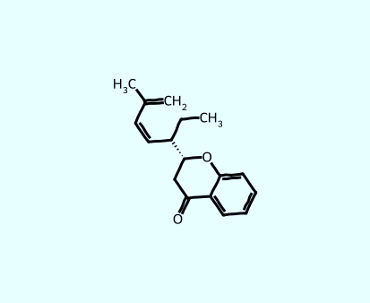 C=C(C)/C=C\C(CC)[C@H]1CC(=O)c2ccccc2O1